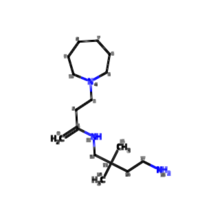 C=C(CCN1CCCCCC1)NCC(C)(C)CCN